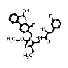 CCOc1nc(CC)c(CNC(=O)C(S)Cc2cccc(F)c2)n1Cc1ccc(-c2ccccc2C(=O)O)cc1F